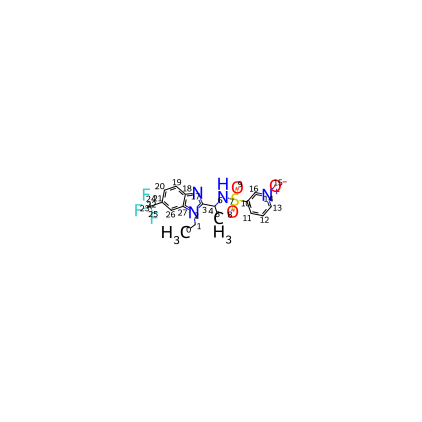 CCn1c(C(C)NS(=O)(=O)c2ccc[n+]([O-])c2)nc2ccc(C(F)(F)F)cc21